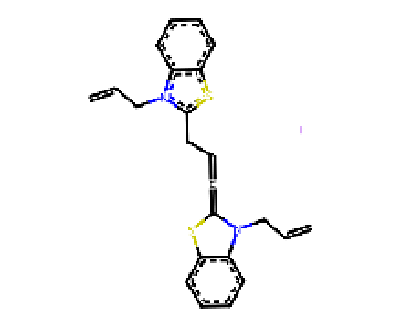 C=CCN1C(=C=CCc2sc3ccccc3[n+]2CC=C)Sc2ccccc21.[I-]